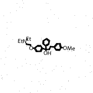 CCN(CC)CCOc1ccc(C(O)(CCc2ccc(OC)cc2)c2ccccc2)cc1